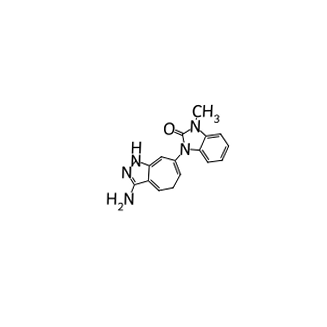 Cn1c(=O)n(C2=CCC=c3c(N)n[nH]c3=C2)c2ccccc21